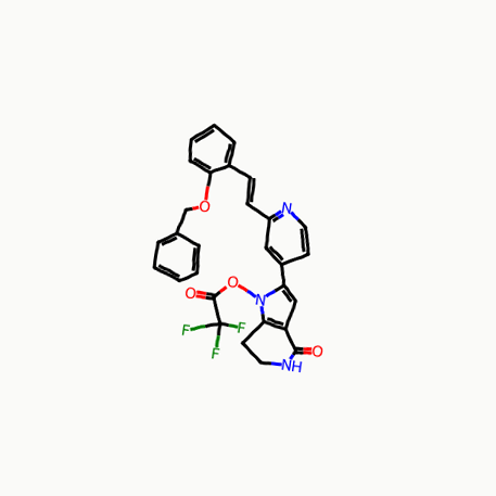 O=C1NCCc2c1cc(-c1ccnc(C=Cc3ccccc3OCc3ccccc3)c1)n2OC(=O)C(F)(F)F